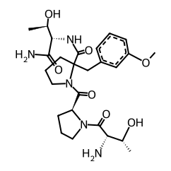 COc1cccc(CC2(C(=O)N[C@H](C(N)=O)[C@@H](C)O)CCCN2C(=O)[C@@H]2CCCN2C(=O)[C@@H](N)[C@@H](C)O)c1